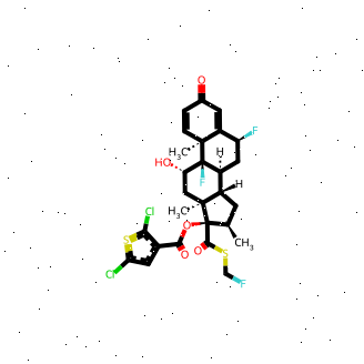 C[C@@H]1C[C@H]2[C@@H]3C[C@H](F)C4=CC(=O)C=C[C@]4(C)[C@@]3(F)[C@@H](O)C[C@]2(C)[C@@]1(OC(=O)c1cc(Cl)sc1Cl)C(=O)SCF